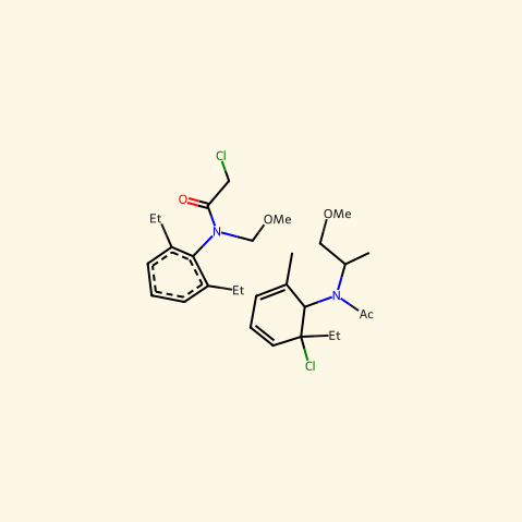 CCC1(Cl)C=CC=C(C)C1N(C(C)=O)C(C)COC.CCc1cccc(CC)c1N(COC)C(=O)CCl